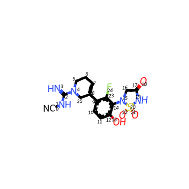 N#CNC(=N)N1CCC=C(c2ccc(O)c(N3CC(=O)NS3(=O)=O)c2F)C1